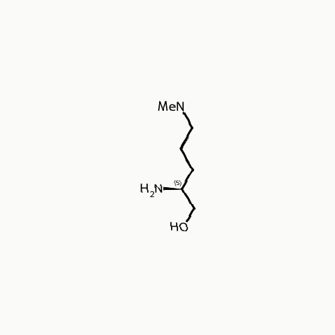 CNCCC[C@H](N)CO